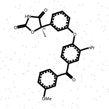 CCCc1cc(C(=O)c2cccc(OC)c2)ccc1Oc1cccc([C@@]2(C)OC(=O)NC2=O)c1